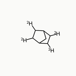 [2H]C1C([2H])C2CC1C([2H])C2[2H]